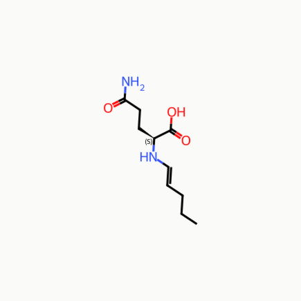 CCCC=CN[C@@H](CCC(N)=O)C(=O)O